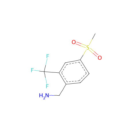 CS(=O)(=O)c1ccc(CN)c(C(F)(F)F)c1